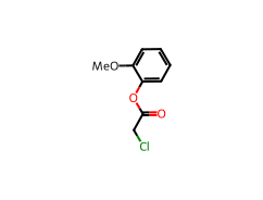 COc1ccccc1OC(=O)CCl